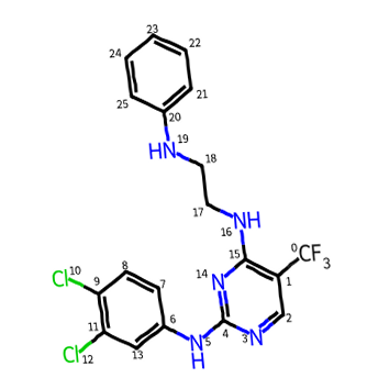 FC(F)(F)c1cnc(Nc2ccc(Cl)c(Cl)c2)nc1NCCNc1ccccc1